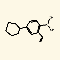 O=Cc1cc(C2CCCCC2)ccc1B(O)O